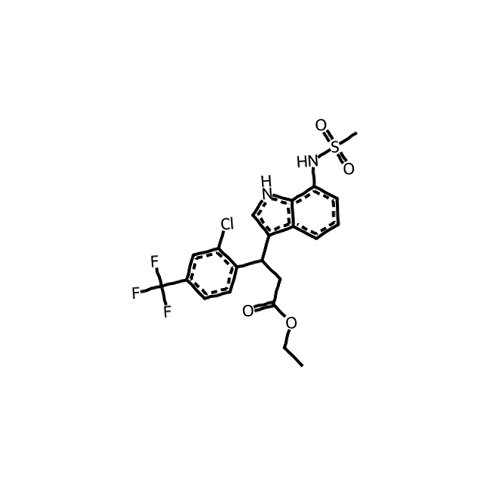 CCOC(=O)CC(c1ccc(C(F)(F)F)cc1Cl)c1c[nH]c2c(NS(C)(=O)=O)cccc12